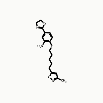 Cc1cc(CCCCCOc2ccc(C3=NCCO3)cc2[N+](=O)[O-])on1